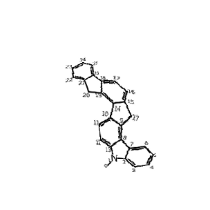 Cn1c2ccccc2c2c3c(ccc21)-c1c(ccc2c1Cc1ccccc1-2)C3